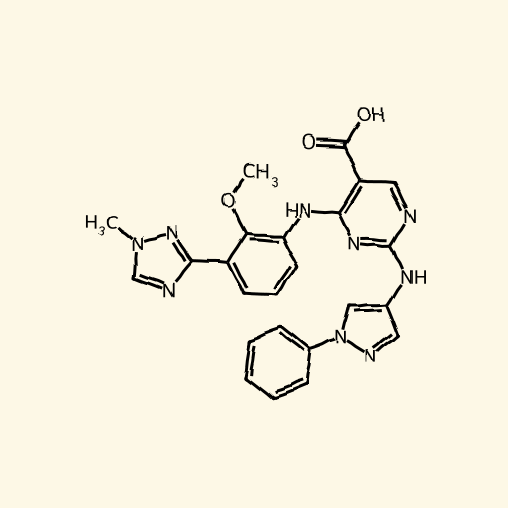 COc1c(Nc2nc(Nc3cnn(-c4ccccc4)c3)ncc2C(=O)O)cccc1-c1ncn(C)n1